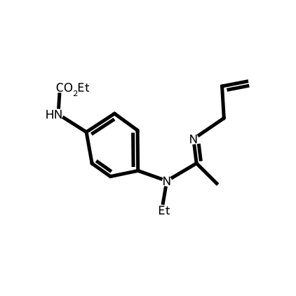 C=CCN=C(C)N(CC)c1ccc(NC(=O)OCC)cc1